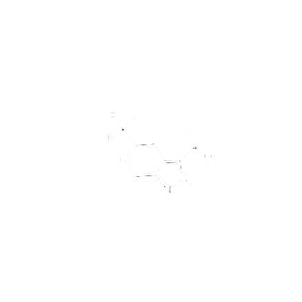 O=C(O)c1onc2c1CC(C(F)(F)F)CC2